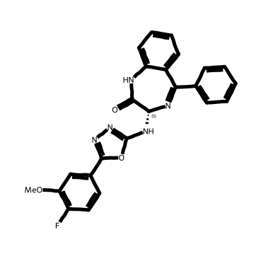 COc1cc(-c2nnc(N[C@H]3N=C(c4ccccc4)c4ccccc4NC3=O)o2)ccc1F